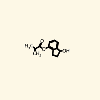 C=C(C)C(=O)Oc1cccc2c1CCC2O